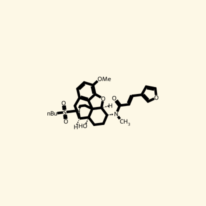 CCCCS(=O)(=O)N1CCC23c4c5ccc(OC)c4O[C@H]2[C@H](N(C)C(=O)/C=C/c2ccoc2)CC[C@@]3(O)[C@H]1C5